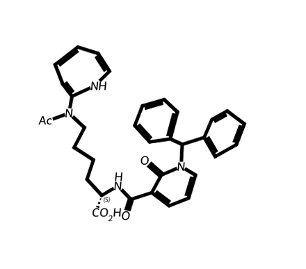 CC(=O)N(CCCC[C@H](NC(=O)c1cccn(C(c2ccccc2)c2ccccc2)c1=O)C(=O)O)C1=CC=CC=CN1